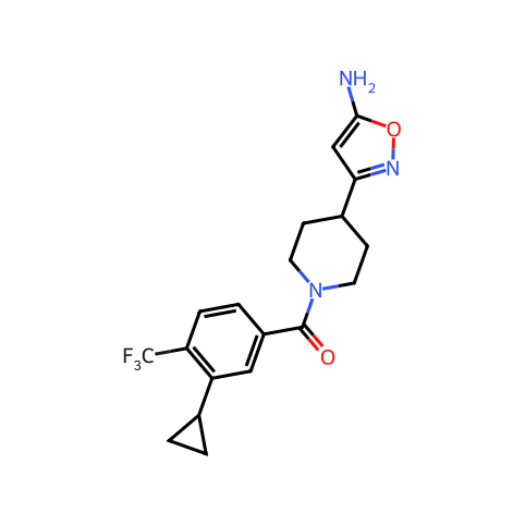 Nc1cc(C2CCN(C(=O)c3ccc(C(F)(F)F)c(C4CC4)c3)CC2)no1